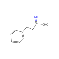 N=C(C=O)CCc1ccccc1